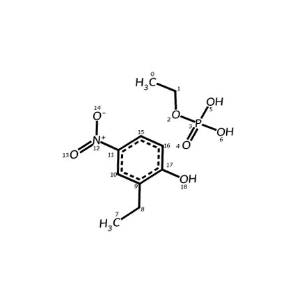 CCOP(=O)(O)O.CCc1cc([N+](=O)[O-])ccc1O